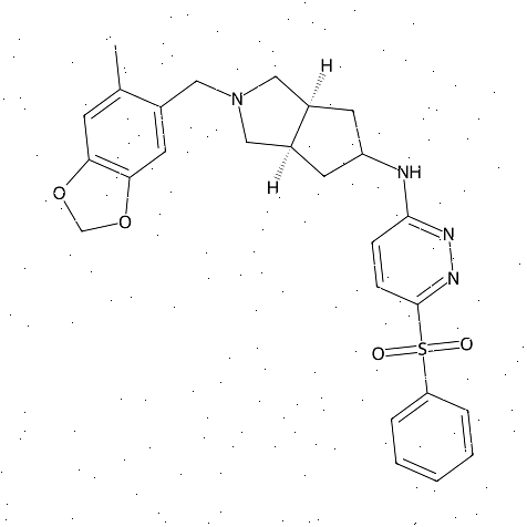 Cc1cc2c(cc1CN1C[C@H]3CC(Nc4ccc(S(=O)(=O)c5ccccc5)nn4)C[C@H]3C1)OCO2